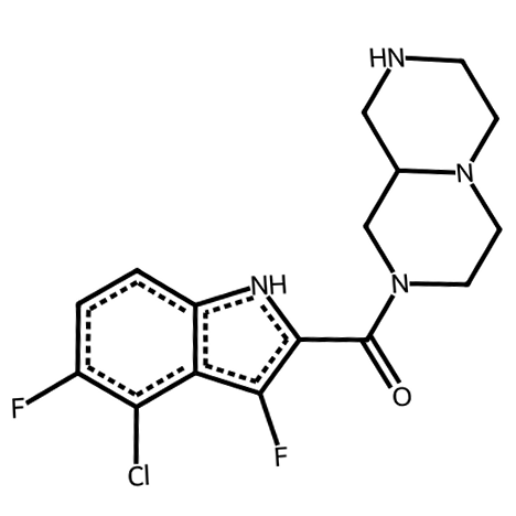 O=C(c1[nH]c2ccc(F)c(Cl)c2c1F)N1CCN2CCNCC2C1